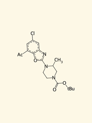 CC(=O)c1cc(Cl)cc2nc(N3CCN(C(=O)OC(C)(C)C)CC3C)oc12